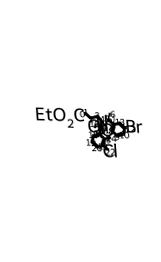 CCOC(=O)CCCN([C@@H](C)c1cccc(Br)c1)S(=O)(=O)c1cccc(Cl)c1C